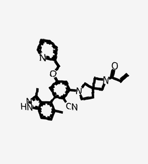 C=CC(=O)N1CC2(CCN(c3cc(OCc4ccccn4)cc(-c4c(C)ccc5[nH]nc(C)c45)c3C#N)C2)C1